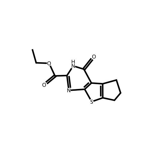 CCOC(=O)c1nc2sc3c(c2c(=O)[nH]1)CCC3